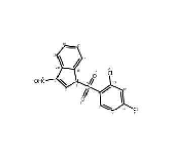 O=Cc1cn(S(=O)(=O)c2ccc(Cl)cc2Cl)c2ccccc12